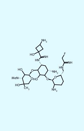 CN[C@@H]1C(O)[C@@H](OC2C(O)C(O[C@H]3O[C@H](CNC(=N)CF)CCC3N)[C@@H](N)C[C@H]2NC(=N)C2(O)CC(N)C2)OCC1(C)O